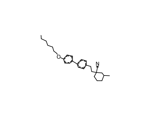 CCCCCCCOc1ccc(-c2ccc(CCC3(C#N)CCCC(C)C3)cc2)cc1